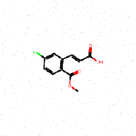 COC(=O)c1ccc(Cl)cc1C=CC(=O)O